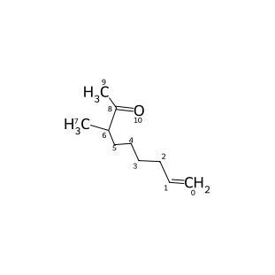 C=CCCCCC(C)C(C)=O